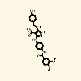 COc1ccc(C(=O)Nc2ccc(Nc3n[nH]c(NCc4ccc(O)cc4)c3C(N)=O)cc2)cc1OC